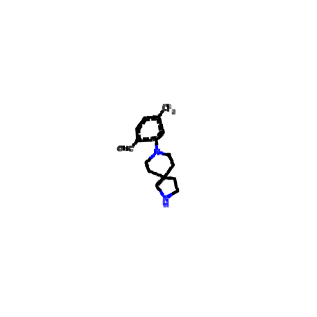 O=Cc1ccc(C(F)(F)F)cc1N1CCC2(CCNC2)CC1